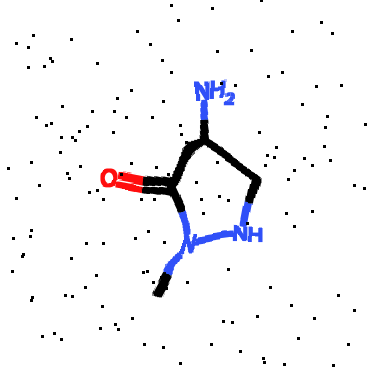 CN1NCC(N)C1=O